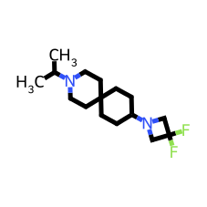 CC(C)N1CCC2(CCC(N3CC(F)(F)C3)CC2)CC1